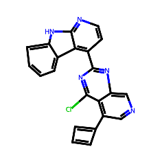 Clc1nc(-c2ccnc3[nH]c4ccccc4c23)nc2cncc(C3=CC=C3)c12